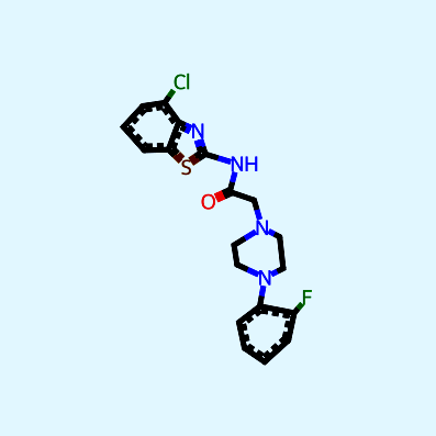 O=C(CN1CCN(c2ccccc2F)CC1)Nc1nc2c(Cl)cccc2s1